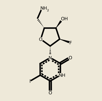 NC[C@H]1O[C@@H](n2cc(I)c(=O)[nH]c2=O)[C@H](F)[C@@H]1O